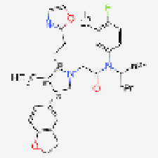 CCCC(CCC)N(C(=O)CN1C[C@H](c2ccc3c(c2)CCO3)[C@@H](C(=O)O)[C@@H]1CCc1ncco1)c1ccc(F)c(C)c1